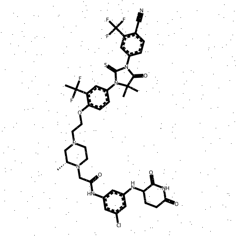 C[C@@H]1CN(CCOc2ccc(N3C(=S)N(c4ccc(C#N)c(C(F)(F)F)c4)C(=O)C3(C)C)cc2C(C)(F)F)CCN1CC(=O)Nc1cc(Cl)cc(NC2CCC(=O)NC2=O)c1